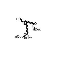 CCCCCCCCCCCOC(=O)CCCC1CN(CCO)CC1CCCCCC(=O)OC(CCCCCCCC)CCCCCCCC